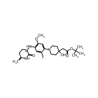 C=C1CC[C@@H](Nc2cc(F)c(N3CCC(O)(CC(=O)OC(C)(C)C)CC3)cc2OC)C(=O)N1